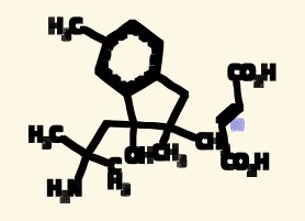 Cc1ccc2c(c1)C(O)(CC(C)(C)N)C(C)(C)C2.O=C(O)/C=C/C(=O)O